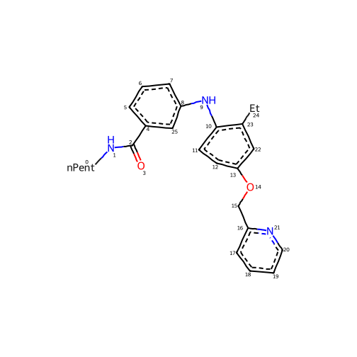 CCCCCNC(=O)c1cccc(Nc2ccc(OCc3ccccn3)cc2CC)c1